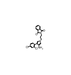 Nc1cn(CCCN2C(=O)c3ccccc3C2=O)cc1-c1ccc(Cl)cc1Cl